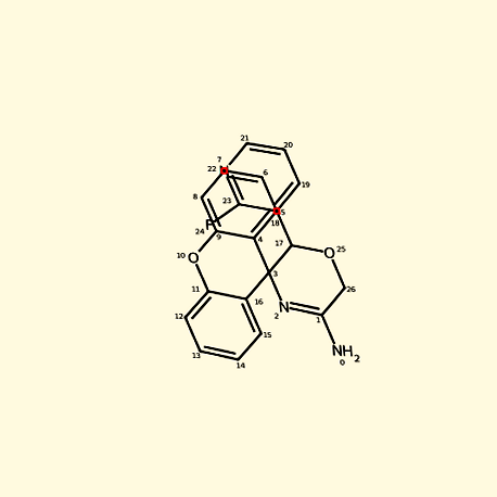 NC1=NC2(c3ccccc3Oc3ccccc32)C(c2cccnc2F)OC1